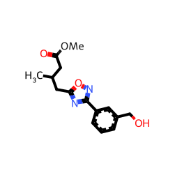 COC(=O)CC(C)Cc1nc(-c2cccc(CO)c2)no1